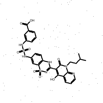 CC(C)CCn1c(=O)c(C2=NS(=O)(=O)c3cc(NS(=O)(=O)Nc4cccc(C(=O)O)c4)ccc3N2)c(O)c2cccnc21